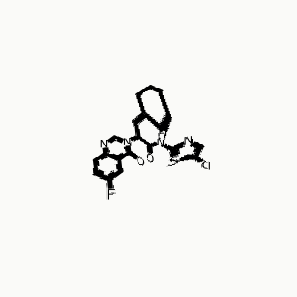 O=C(Nc1ncc(Cl)s1)C(CC1CCCCC1)n1cnc2ccc(F)cc2c1=O